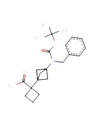 CC(C)(C)OC(=O)N(Cc1ccccc1)C12CC(C3(C(=O)O)CCC3)(C1)C2